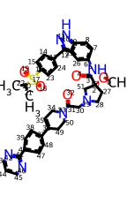 CO[C@@]1(C(=O)Nc2ccc3[nH]nc(-c4ccc(S(=O)(=O)C(C)C)cc4)c3c2)CCN(CC(=O)N2CC=C(c3ccc(-c4ncccn4)cc3)CC2)C1